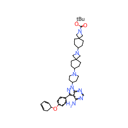 CC(C)(C)OC(=O)N1CC2(CCC(N3CC4(CCC(N5CCC(n6nc(-c7ccc(OC8C=CC=CC8)cc7)c7c(N)ncnc76)CC5)CC4)C3)CC2)C1